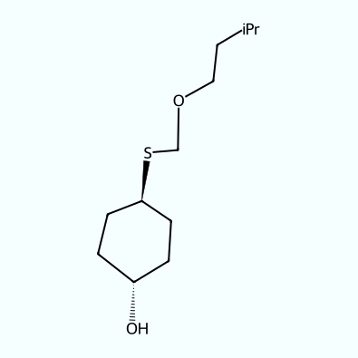 CC(C)CCOCS[C@H]1CC[C@H](O)CC1